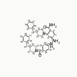 NC(=O)c1ccc(N)cc1N1CCC(Cc2ccccc2)CC1.Nc1ccc(C(=O)N2CCC(Cc3ccccc3)CC2)cc1